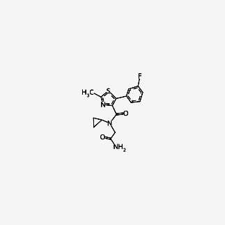 Cc1nc(C(=O)N(CC(N)=O)C2CC2)c(-c2cccc(F)c2)s1